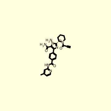 C#CC(=O)N1CCCC[C@H]1c1nc(-c2ccc(C(=O)Nc3cc(C)ccn3)cc2)c(C(N)=O)n1N